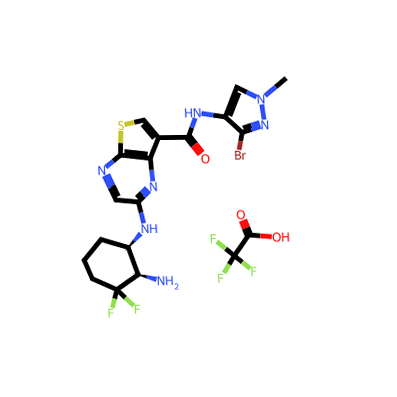 Cn1cc(NC(=O)c2csc3ncc(N[C@@H]4CCCC(F)(F)[C@@H]4N)nc23)c(Br)n1.O=C(O)C(F)(F)F